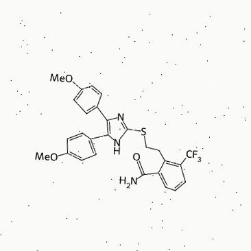 COc1ccc(-c2nc(SCCc3c(C(N)=O)cccc3C(F)(F)F)[nH]c2-c2ccc(OC)cc2)cc1